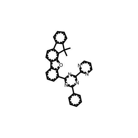 CC1(C)c2ccccc2-c2ccc3c(oc4c(-c5nc(-c6ccccc6)nc(-c6ncccn6)n5)cccc43)c21